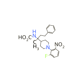 CC(CCc1ccccc1)(NC(=O)O)C1CCN(c2c(F)cccc2[N+](=O)[O-])CC1